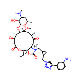 CC[C@H]1OC(=O)[C@H](C)C(=O)[C@H](C)[C@@H](O[C@@H]2O[C@H](C)CC(N(C)C)C2O)[C@](C)(OC)C[C@@H](C)C(=O)[C@H](C)[C@H]2N(CC3CC3Cn3cc(-c4cccc(N)c4)nn3)C(=O)O[C@]12C